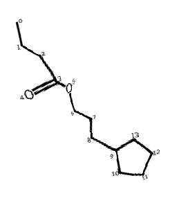 CCCC(=O)OCCCC1CCCC1